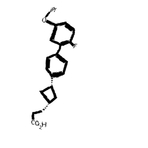 CC(C)Oc1ccc(F)c(-c2ccc([C@H]3C[C@@H](CCC(=O)O)C3)cc2)c1